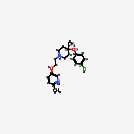 Cc1ccc(OCCN2CCC(C)(Oc3ccc(Cl)cc3)CC2)cn1